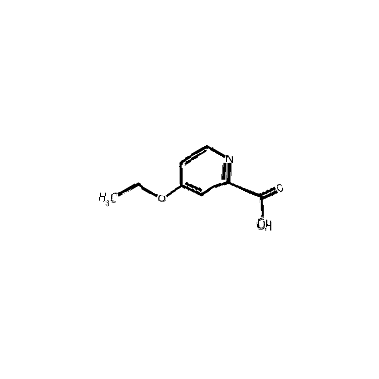 CCOc1ccnc(C(=O)O)c1